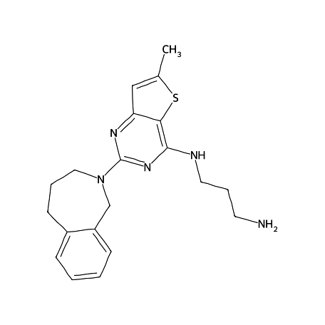 Cc1cc2nc(N3CCCc4ccccc4C3)nc(NCCCN)c2s1